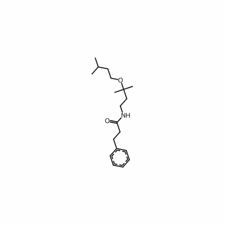 CC(C)CCOC(C)(C)CCNC(=O)CCc1ccccc1